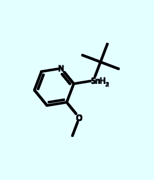 COc1cccn[c]1[SnH2][C](C)(C)C